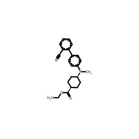 CCOC(=O)[C@H]1CC[C@@H](N(C)c2ccc(-c3ccccc3C#N)cc2)CC1